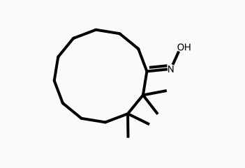 CC1(C)CCCCCCCCCC(=NO)C1(C)C